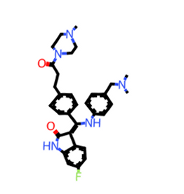 CN(C)Cc1ccc(NC(=C2C(=O)Nc3cc(F)ccc32)c2ccc(CCC(=O)N3CCN(C)CC3)cc2)cc1